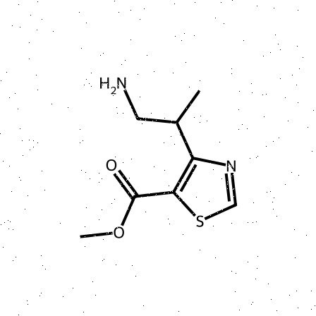 COC(=O)c1scnc1C(C)CN